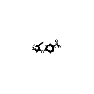 Cc1nocc1Oc1ccc([N+](=O)[O-])cc1